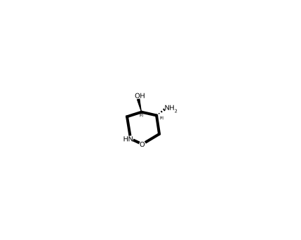 N[C@@H]1CONC[C@H]1O